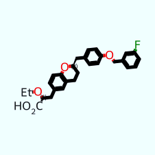 CCO[C@@H](Cc1ccc2c(c1)CC[C@H](Cc1ccc(OCc3cccc(F)c3)cc1)O2)C(=O)O